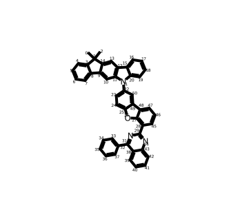 CC1(C)c2ccccc2-c2cc3c(cc21)c1ccccc1n3-c1ccc2oc3c(-c4nc(-c5ccccc5)c5ccccc5n4)cccc3c2c1